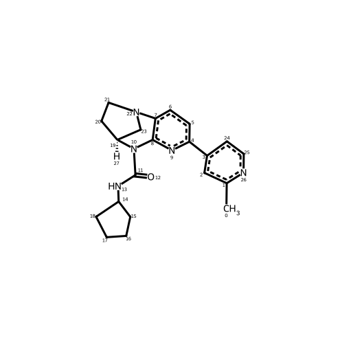 Cc1cc(-c2ccc3c(n2)N(C(=O)NC2CCCC2)[C@H]2CCN3C2)ccn1